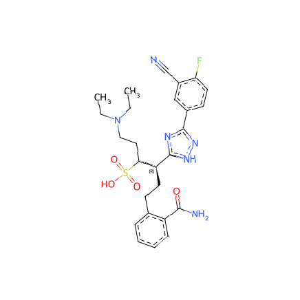 CCN(CC)CCC([C@H](CCc1ccccc1C(N)=O)c1nc(-c2ccc(F)c(C#N)c2)n[nH]1)S(=O)(=O)O